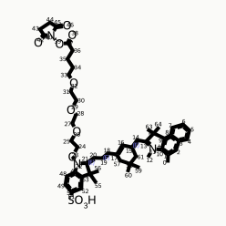 Cc1cc2ccccc2c2c1[N+](C)=C(/C=C1C=C(/C=C/C=C3/N(OCCOCCOCCOCCCCC(=O)ON4C(=O)CCC4=O)c4ccc(S(=O)(=O)O)cc4C3(C)C)CC(C)(C)C/1)C2(C)C